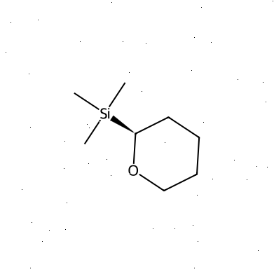 C[Si](C)(C)[C@H]1CCCCO1